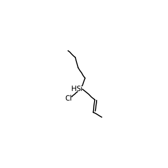 CC=C[SiH](Cl)CCCC